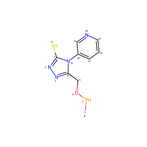 Sc1nnc(COPI)n1-c1cccnc1